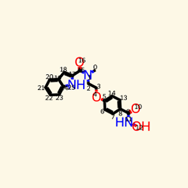 CN(CCOc1ccc(C(=O)NO)cc1)C(=O)c1cc2ccccc2[nH]1